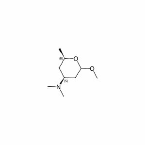 COC1C[C@@H](N(C)C)C[C@@H](C)O1